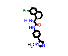 Cn1cncc1-c1ccc(NC(=O)[C@@H](N)[C@@H]2CCCc3ccc(Br)cc32)cc1